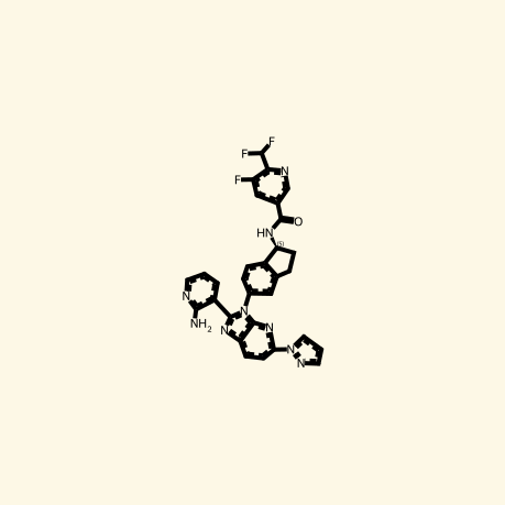 Nc1ncccc1-c1nc2ccc(-n3cccn3)nc2n1-c1ccc2c(c1)CC[C@@H]2NC(=O)c1cnc(C(F)F)c(F)c1